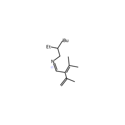 C=C(C)C(/C=N\CC(CC)C(C)CC)=C(C)C